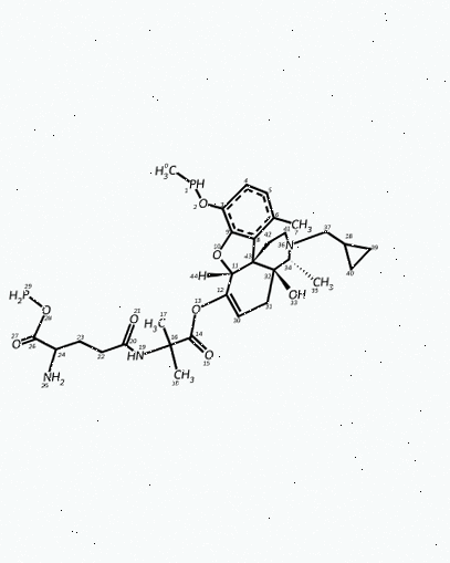 CPOc1ccc(C)c2c1O[C@H]1C(OC(=O)C(C)(C)NC(=O)CCC(N)C(=O)OP)=CC[C@@]3(O)[C@@H](C)N(CC4CC4)CC[C@]213